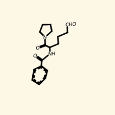 O=CCCCC(NC(=O)c1ccccc1)C(=O)N1CCCC1